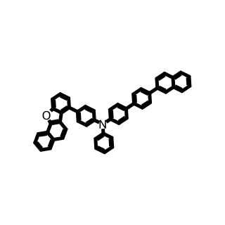 c1ccc(N(c2ccc(-c3ccc(-c4ccc5ccccc5c4)cc3)cc2)c2ccc(-c3cccc4oc5c6ccccc6ccc5c34)cc2)cc1